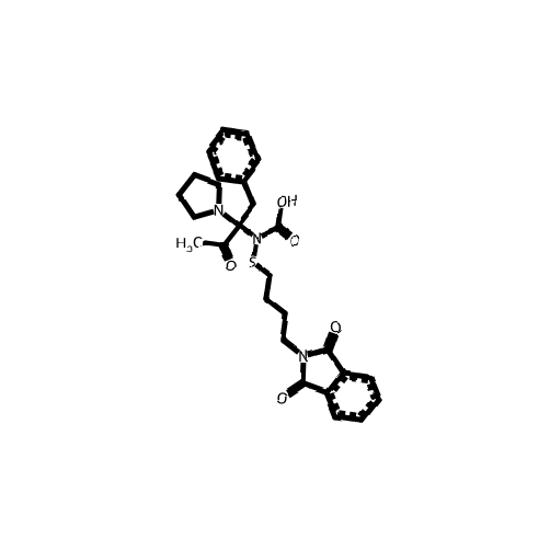 CC(=O)C(Cc1ccccc1)(N1CCCC1)N(SCCCCN1C(=O)c2ccccc2C1=O)C(=O)O